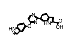 O=C(O)c1cc2ccc(-c3nccc(Oc4ccc5[nH]ncc5c4)n3)cc2[nH]1